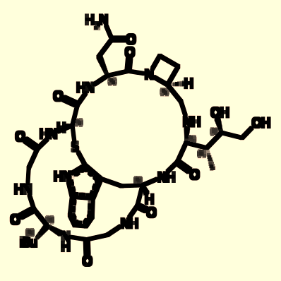 CC[C@H](C)[C@@H]1NC(=O)CNC(=O)[C@@H]2Cc3c([nH]c4ccccc34)S[C@H](NC(=O)CNC1=O)C(=O)N[C@@H](CC(N)=O)C(=O)N1CC[C@H]1CN[C@@H]([C@@H](C)[C@@H](O)CO)C(=O)N2